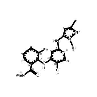 CCn1nc(C)cc1Nc1cc(Nc2c(F)cccc2C(=O)NC)c(Cl)cn1